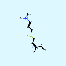 CC/C(C)=C\CSCC=CN(C)C